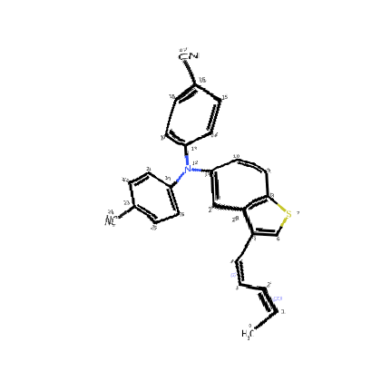 C/C=C\C=C/c1csc2ccc(N(c3ccc(C#N)cc3)c3ccc(C#N)cc3)cc12